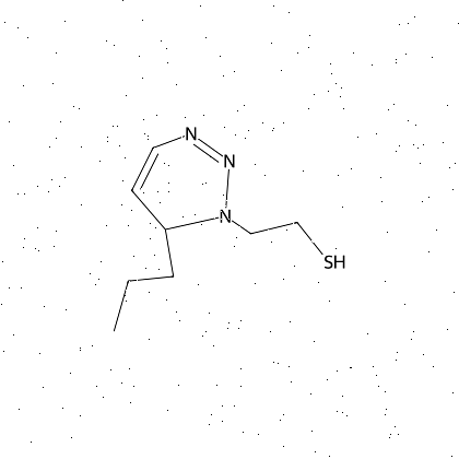 CCCC1C=CN=NN1CCS